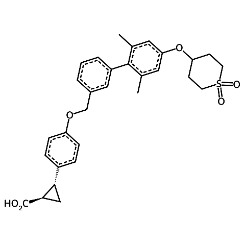 Cc1cc(OC2CCS(=O)(=O)CC2)cc(C)c1-c1cccc(COc2ccc([C@@H]3C[C@H]3C(=O)O)cc2)c1